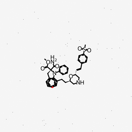 COC(=O)[C@](Cc1ccccc1)(C(N)=O)N(c1ccccc1)c1ccccc1CC[C@@H]1CNC[C@@H](/C=C/c2ccc(S(C)(=O)=O)cc2)O1